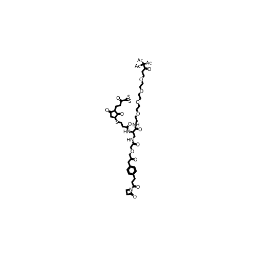 CC(=O)C(C(C)=O)(C(C)=O)C(=O)CCOCCOCCOCCOCCNC(=O)C(CNC(=O)COCC(=O)Cc1ccc(CCC(=O)N2CCC2=O)cc1)NC(=O)CCSC1CC(=O)C(CCC(=O)C2SS2)C1=O